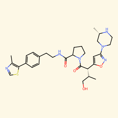 Cc1ncsc1-c1ccc(CCNC(=O)C2CCCN2C(=O)[C@H](c2cc(N3CCN[C@@H](C)C3)no2)C(C)CO)cc1